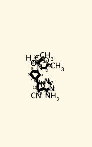 C[C@H]1CN(c2cccc(-c3cc(C#N)c4c(N)ncnn34)c2)C(=O)C(C)(C)O1